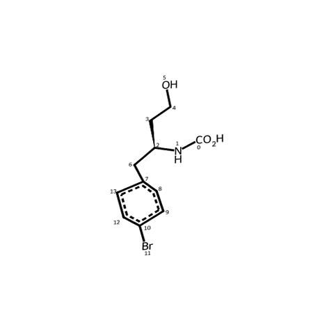 O=C(O)N[C@H](CCO)Cc1ccc(Br)cc1